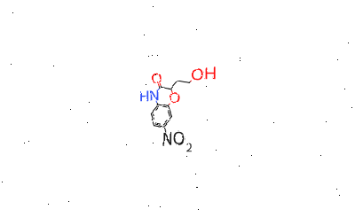 O=C1Nc2ccc([N+](=O)[O-])cc2OC1CCO